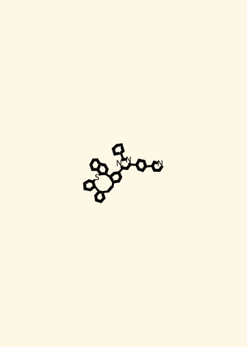 C1=C\c2ccc(-c3cc(-c4ccc(-c5cccnc5)cc4)nc(-c4ccccc4)n3)cc2-c2ccc3ccccc3c2Sc2ccccc2-c2ccccc2/1